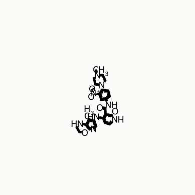 Cc1c(Nc2cc[nH]c(=O)c2C(=O)Nc2ccc(N3CCN(C)CC3)c([N+](=O)[O-])c2)cnc2c1NCCO2